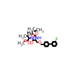 COC(=O)C(NC(=O)C(COCc1ccc(-c2cccc(F)c2)cc1)NC(=O)OC(C)(C)C)C(C)C